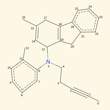 CC#CCCN(c1ccccc1C)C1C=C(C)CC2=C1Cc1ccccc12